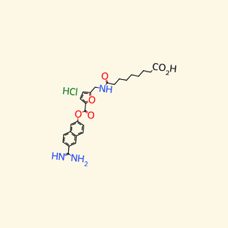 Cl.N=C(N)c1ccc2cc(OC(=O)c3ccc(CNC(=O)CCCCCCCC(=O)O)o3)ccc2c1